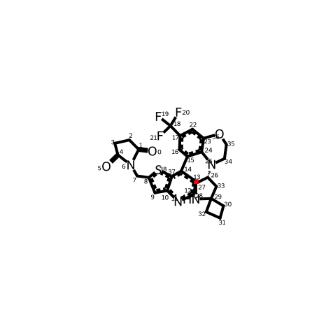 O=C1CCC(=O)N1Cc1cc2nccc(-c3cc(C(F)(F)F)cc4c3N([C@H]3CNC5(CCC5)C3)CCO4)c2s1